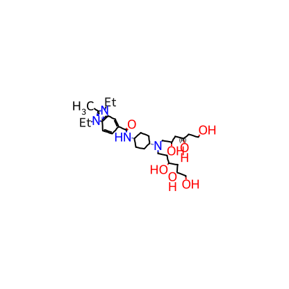 CCn1c(C)[n+](CC)c2ccc(C(=O)N[C@H]3CC[C@@H](N(CCC(O)CC(O)CO)CC(O)C[C@H](O)CCO)CC3)cc21